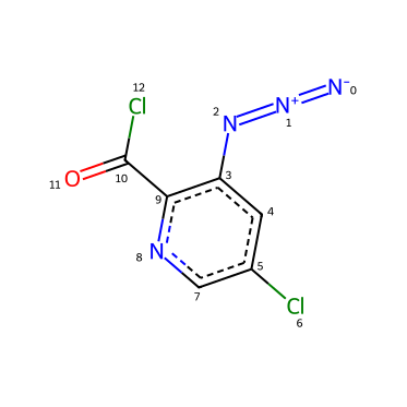 [N-]=[N+]=Nc1cc(Cl)cnc1C(=O)Cl